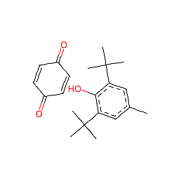 Cc1cc(C(C)(C)C)c(O)c(C(C)(C)C)c1.O=C1C=CC(=O)C=C1